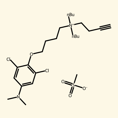 C#CCC[N+](CCCC)(CCCC)CCCCOc1c(Cl)cc(N(C)C)cc1Cl.CS(=O)(=O)[O-]